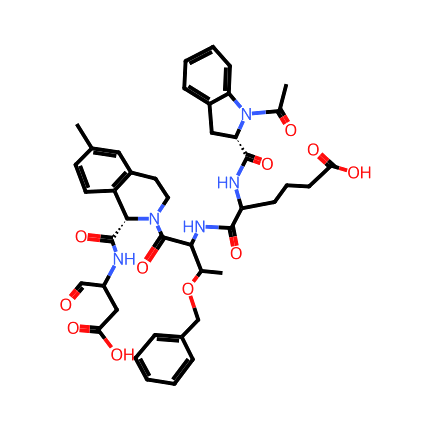 CC(=O)N1c2ccccc2C[C@H]1C(=O)NC(CCCC(=O)O)C(=O)NC(C(=O)N1CCc2cc(C)ccc2[C@H]1C(=O)NC(C=O)CC(=O)O)C(C)OCc1ccccc1